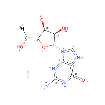 [2H]C(O)[C@H]1O[C@@H](n2cnc3c(=O)[nH]c(N)nc32)[C@H](O)[C@@H]1O.[P]